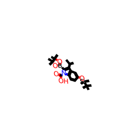 CC(C)c1c(B2OC(C)(C)C(C)(C)O2)n(C(=O)O)c2ccc(O[Si](C)(C)C(C)(C)C)cc12